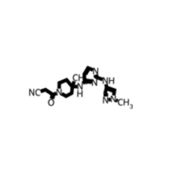 Cn1cc(Nc2nccc(NC3(C)CCN(C(=O)CC#N)CC3)n2)cn1